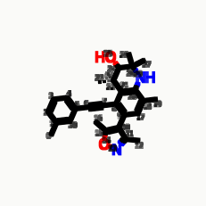 Cc1cccc(C#Cc2c(-c3c(C)noc3C)cc(C)c3c2[C@H](C)C(O)C(C)(C)N3)c1